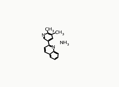 Cc1cc(-c2ccc3ccccc3n2)cnc1C.N